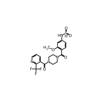 COc1cc(N[SH](=O)=O)ccc1C(=O)N1CCN(C(=O)c2cccnc2C(F)(F)F)CC1